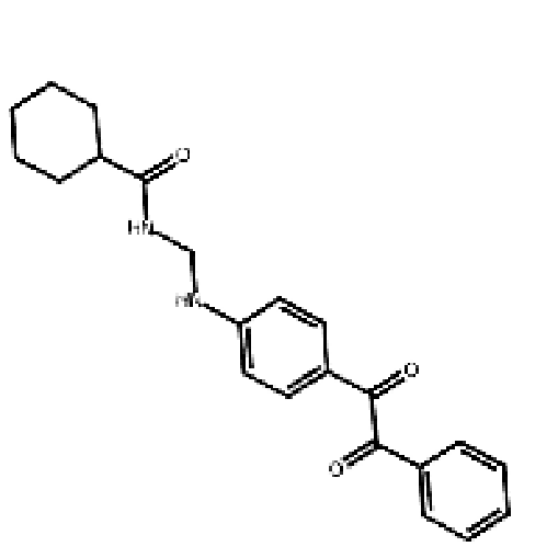 O=C(C(=O)c1ccc(NCNC(=O)C2CCCCC2)cc1)c1ccccc1